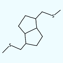 CSCC1CCC2C(CSC)CCC12